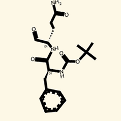 CC(C)(C)OC(=O)N[C@@H](Cc1ccccc1)C(=O)N[C@H](C=O)CCC(N)=O